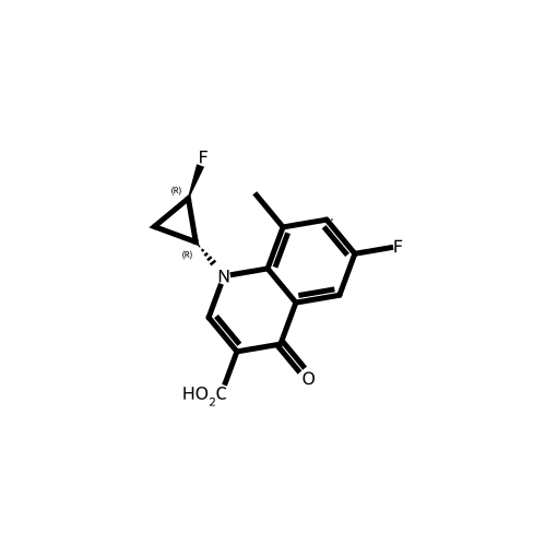 Cc1[c]c(F)cc2c(=O)c(C(=O)O)cn([C@@H]3C[C@H]3F)c12